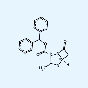 CC1S[C@@H]2CC(=O)N2[C@H]1C(=O)OC(c1ccccc1)c1ccccc1